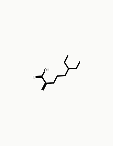 C=C(CCCC(CC)CC)C(=O)O